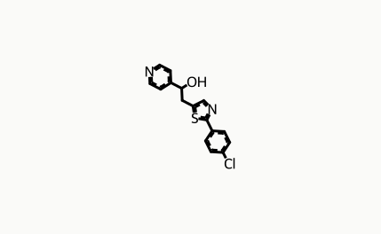 OC(Cc1cnc(-c2ccc(Cl)cc2)s1)c1ccncc1